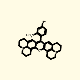 CC(C)c1ccc(C2=C3C=C4CCCN5CCCC(=C3Oc3c2cc2c6c3CCCN6CCC2)C45)c(S(=O)(=O)O)c1